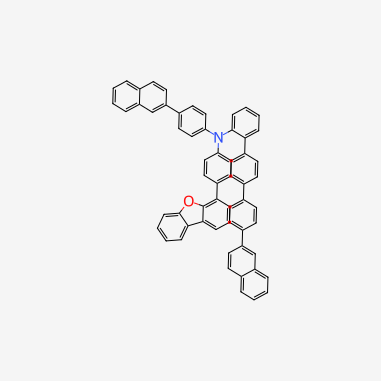 c1ccc(N(c2ccc(-c3ccc4ccccc4c3)cc2)c2ccc(-c3cccc4c3oc3ccccc34)cc2)c(-c2ccc(-c3ccc(-c4ccc5ccccc5c4)cc3)cc2)c1